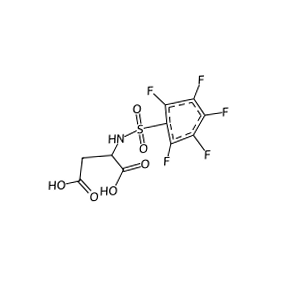 O=C(O)CC(NS(=O)(=O)c1c(F)c(F)c(F)c(F)c1F)C(=O)O